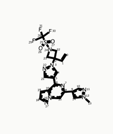 C=CC1(n2cc(-c3nc(-c4cnn(C)c4)cn4nccc34)cn2)CN(S(=O)(=O)C(F)(F)F)C1